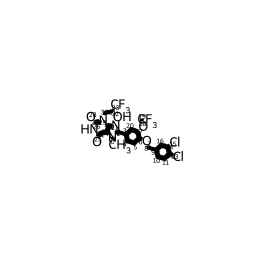 Cn1c(-c2ccc(OCc3ccc(Cl)c(Cl)c3)c(OC(F)(F)F)c2)nc2c1c(=O)[nH]c(=O)n2C[C@H](O)C(F)(F)F